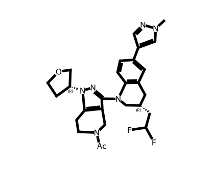 CC(=O)N1CCc2c(c(N3C[C@@H](CC(F)F)Cc4cc(-c5cnn(C)c5)ccc43)nn2[C@@H]2CCOC2)C1